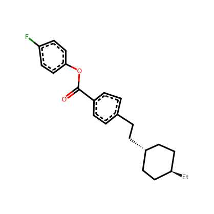 CC[C@H]1CC[C@H](CCc2ccc(C(=O)Oc3ccc(F)cc3)cc2)CC1